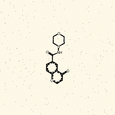 O=C(NN1CCOCC1)c1ccc2occc(=O)c2c1